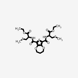 CCOC(=O)C(CSC)NC(=O)c1sc(C(=O)NC(CSC)C(=O)OCC)c2c1OCCCO2